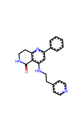 O=C1NCCc2nc(-c3ccccc3)cc(NCCc3ccncc3)c21